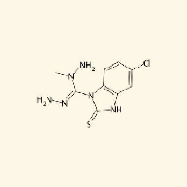 CN(N)/C(=N\N)n1c(=S)[nH]c2cc(Cl)ccc21